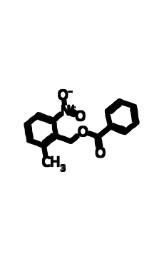 Cc1cccc([N+](=O)[O-])c1COC(=O)c1ccccc1